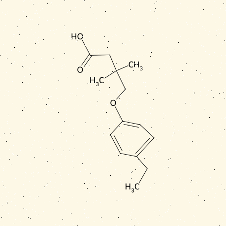 CCc1ccc(OCC(C)(C)CC(=O)O)cc1